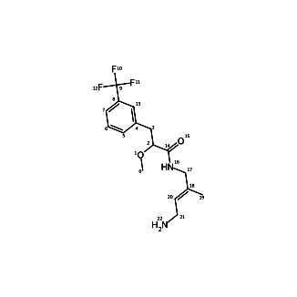 COC(Cc1cccc(C(F)(F)F)c1)C(=O)NCC(C)=CCN